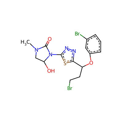 CN1CC(O)N(c2nnc(C(CCBr)Oc3cccc(Br)c3)s2)C1=O